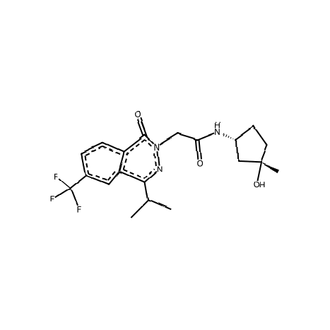 CC(C)c1nn(CC(=O)N[C@@H]2CC[C@](C)(O)C2)c(=O)c2ccc(C(F)(F)F)cc12